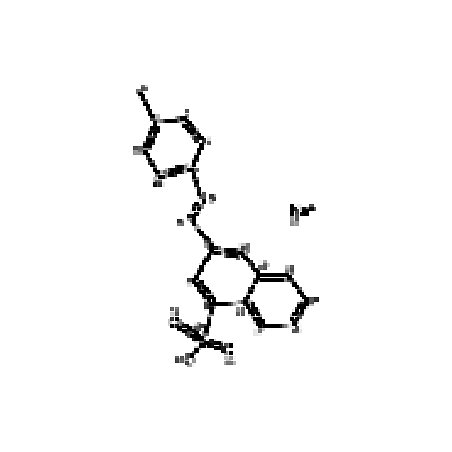 Cc1ccc(N=Nc2cc(S(=O)(=O)[O-])c3ccccc3c2)cc1.[Na+]